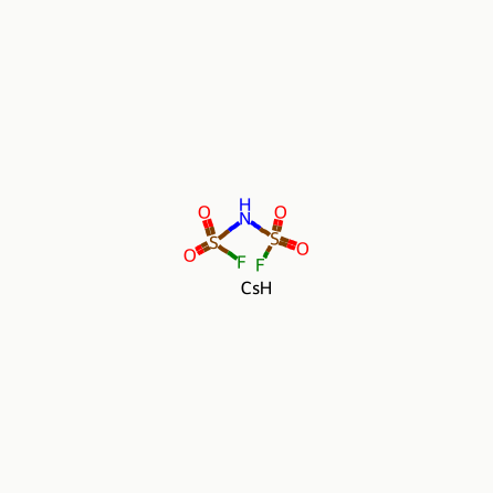 O=S(=O)(F)NS(=O)(=O)F.[CsH]